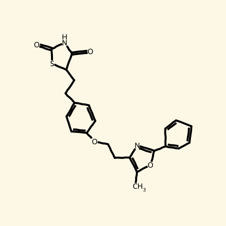 Cc1oc(-c2ccccc2)nc1CCOc1ccc(CCC2SC(=O)NC2=O)cc1